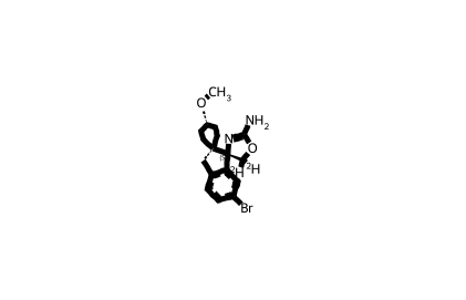 [2H]C1([2H])OC(N)=N[C@@]12c1cc(Br)ccc1C[C@]21CC[C@@H](OC)CC1